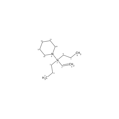 C=C[Si](CCC)(CCC)N1CCCCC1